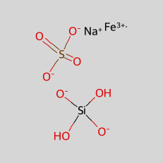 O=S(=O)([O-])[O-].[Fe+3].[Na+].[O-][Si]([O-])(O)O